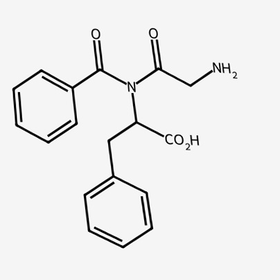 NCC(=O)N(C(=O)c1ccccc1)C(Cc1ccccc1)C(=O)O